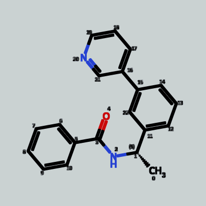 C[C@H](NC(=O)c1ccccc1)c1cccc(-c2cccnc2)c1